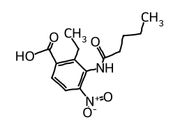 CCCCC(=O)Nc1c([N+](=O)[O-])ccc(C(=O)O)c1CC